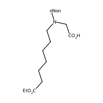 CCCCCCCCCN(CCCCCCC(=O)OCC)CC(=O)O